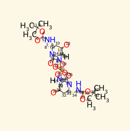 CC(C)(C)OC(=O)NC[C@@H]1CC(=O)[C@@H]2CN1C(=O)N2OS(=O)(=O)ON1C(=O)N2C[C@H]1C(=O)C[C@H]2CNC(=O)OC(C)(C)C